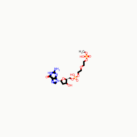 COP(=O)(O)OCCOCCOP(=O)(O)OC[C@H]1O[C@@H](n2cnc3c(=O)[nH]c(N)nc32)CC1O